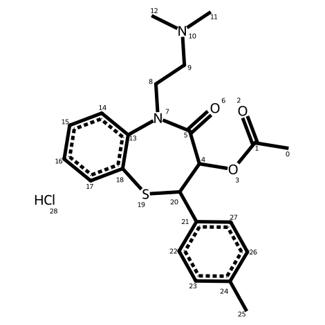 CC(=O)OC1C(=O)N(CCN(C)C)c2ccccc2SC1c1ccc(C)cc1.Cl